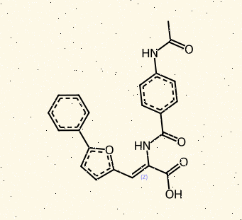 CC(=O)Nc1ccc(C(=O)N/C(=C\c2ccc(-c3ccccc3)o2)C(=O)O)cc1